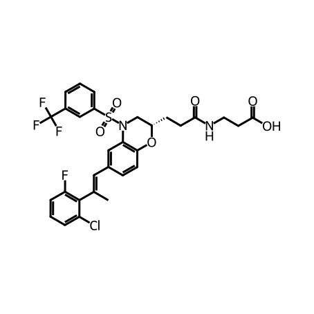 C/C(=C\c1ccc2c(c1)N(S(=O)(=O)c1cccc(C(F)(F)F)c1)C[C@H](CCC(=O)NCCC(=O)O)O2)c1c(F)cccc1Cl